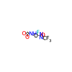 O=c1cc(NCc2ccc(-c3noc(C(F)(F)F)n3)c(F)c2)c1=O